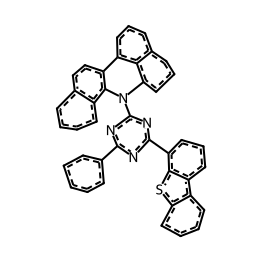 c1ccc(-c2nc(-c3cccc4c3sc3ccccc34)nc(N3c4c(ccc5ccccc45)-c4cccc5cccc3c45)n2)cc1